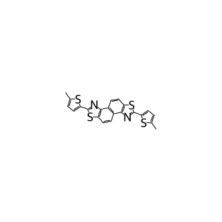 Cc1ccc(-c2nc3c(ccc4c3ccc3sc(-c5ccc(C)s5)nc34)s2)s1